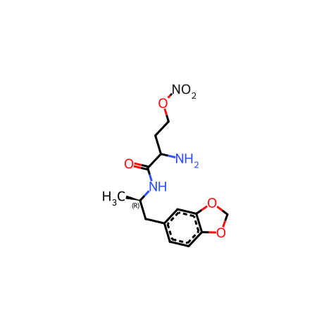 C[C@H](Cc1ccc2c(c1)OCO2)NC(=O)C(N)CCO[N+](=O)[O-]